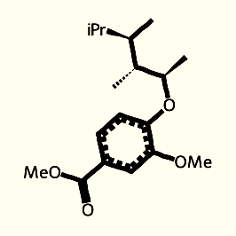 COC(=O)c1ccc(O[C@H](C)[C@H](C)[C@H](C)C(C)C)c(OC)c1